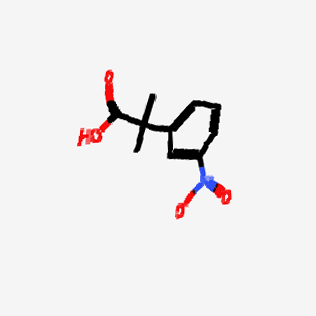 CC(C)(C(=O)O)c1cccc([N+](=O)[O-])c1